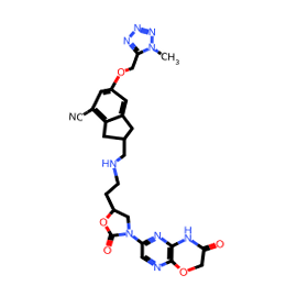 Cn1nnnc1COc1cc(C#N)c2c(c1)CC(CNCCC1CN(c3cnc4c(n3)NC(=O)CO4)C(=O)O1)C2